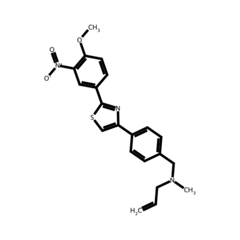 C=CCN(C)Cc1ccc(-c2csc(-c3ccc(OC)c([N+](=O)[O-])c3)n2)cc1